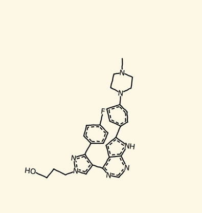 CN1CCN(c2ccc(-c3cc4c(-c5cn(CCCO)nc5-c5ccc(F)cc5)ncnc4[nH]3)cc2)CC1